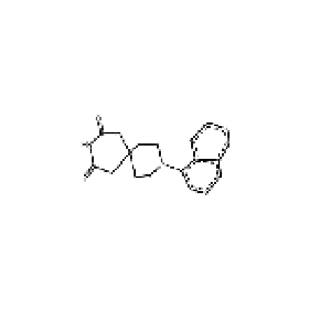 O=C1CC2(CCN(c3cccc4cnccc34)CC2)CC(=O)N1